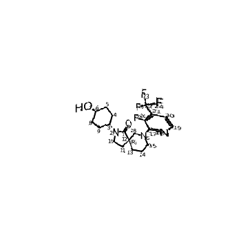 O=C1N([C@H]2CC[C@H](O)CC2)CC[C@@]12CCCN(c1nccc(C(F)(F)F)c1F)C2